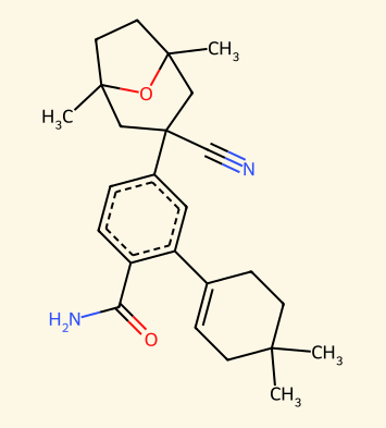 CC1(C)CC=C(c2cc(C3(C#N)CC4(C)CCC(C)(C3)O4)ccc2C(N)=O)CC1